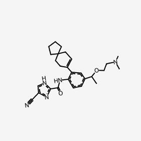 CC(OCCN(C)C)c1ccc(NC(=O)c2nc(C#N)c[nH]2)c(C2=CCC3(CCCC3)CC2)c1